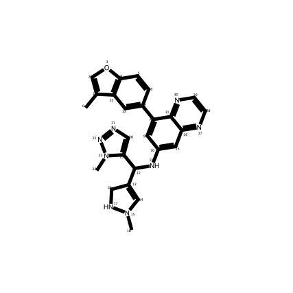 Cc1coc2ccc(-c3cc(NC(C4=CN(C)NC4)c4cnnn4C)cc4nccnc34)cc12